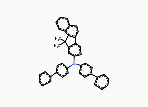 CC1(C)c2cc(N(c3ccc(-c4ccccc4)cc3)c3ccc(-c4ccccc4)cc3)ccc2-c2ccc3ccccc3c21